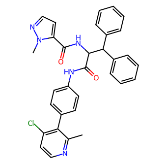 Cc1nccc(Cl)c1-c1ccc(NC(=O)C(NC(=O)c2ccnn2C)C(c2ccccc2)c2ccccc2)cc1